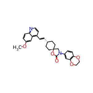 COc1ccc2nccc(/C=C/[C@H]3CC[C@@]4(CC3)CN(c3ccc5c(c3)OCCO5)C(=O)O4)c2c1